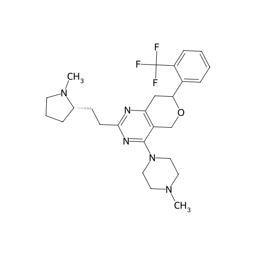 CN1CCN(c2nc(CC[C@@H]3CCCN3C)nc3c2COC(c2ccccc2C(F)(F)F)C3)CC1